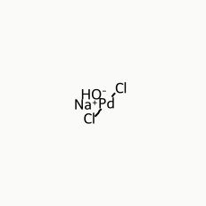 [Cl][Pd][Cl].[Na+].[OH-]